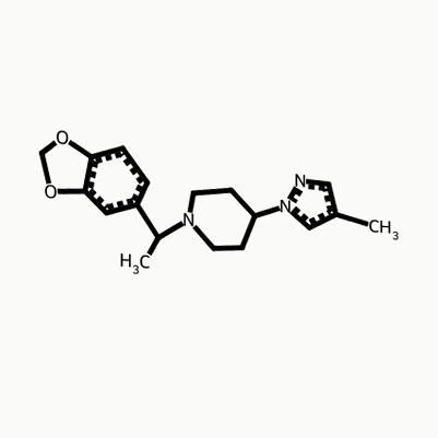 Cc1cnn(C2CCN(C(C)c3ccc4c(c3)OCO4)CC2)c1